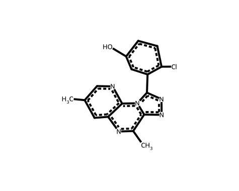 Cc1cnc2c(c1)nc(C)c1nnc(-c3cc(O)ccc3Cl)n12